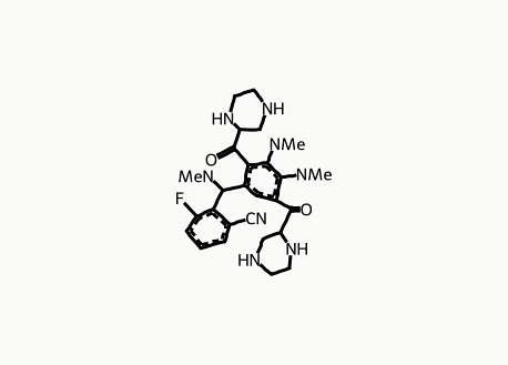 CNc1c(C(=O)C2CNCCN2)cc(C(NC)c2c(F)cccc2C#N)c(C(=O)C2CNCCN2)c1NC